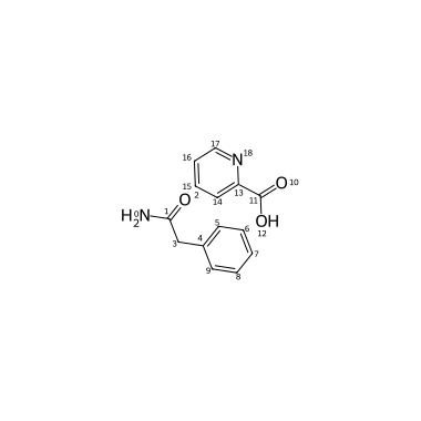 NC(=O)Cc1ccccc1.O=C(O)c1ccccn1